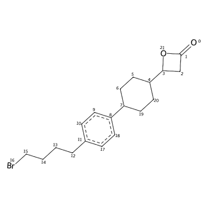 O=C1CC(C2CCC(c3ccc(CCCCBr)cc3)CC2)O1